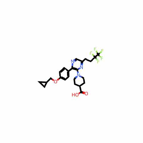 O=C(O)C1CCN(c2nc(CCC(F)(F)C(F)(F)F)cnc2-c2ccc(OCC3CC3)cc2)CC1